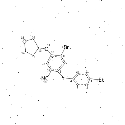 CCc1ccc(Cc2cc(Br)c(OC3CCOC3)cc2C#N)cc1